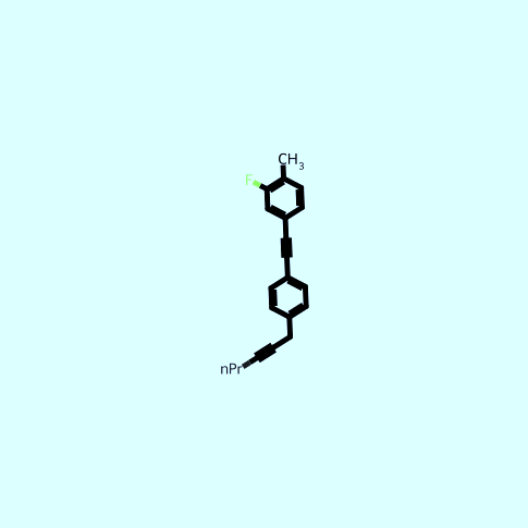 CCCC#CCc1ccc(C#Cc2ccc(C)c(F)c2)cc1